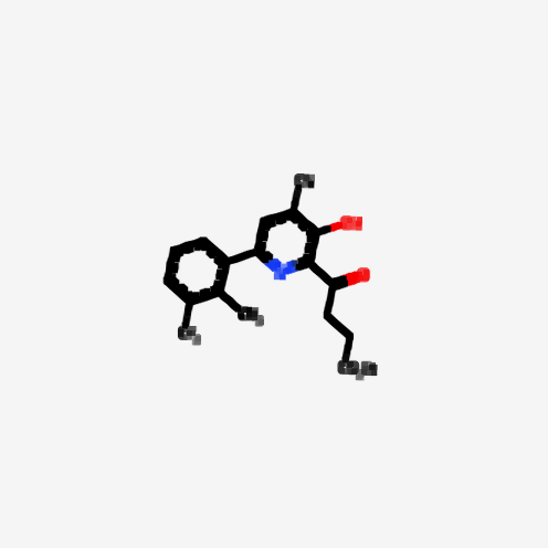 CCOC(=O)CCC(=O)c1nc(-c2cccc(C(F)(F)F)c2C)cc(C#N)c1O